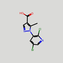 Cc1c(C(=O)O)cnn1-c1cc(Br)cnc1Cl